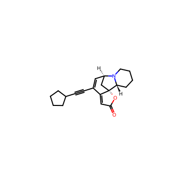 O=C1C=C2C(C#CC3CCCC3)=C[C@@H]3C[C@@]2(O1)[C@H]1CCCCN31